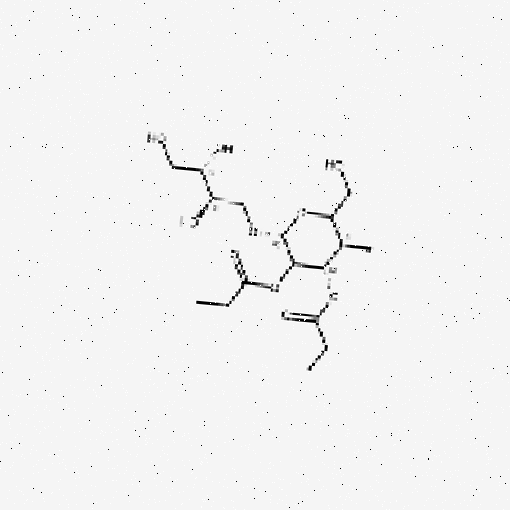 CCC(=O)OC1[C@H](OC[C@@H](O)[C@@H](O)CO)OC(CO)[C@@H](C)[C@@H]1OC(=O)CC